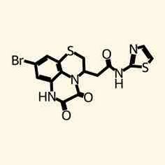 O=C(CC1CSc2cc(Br)cc3[nH]c(=O)c(=O)n1c23)Nc1nccs1